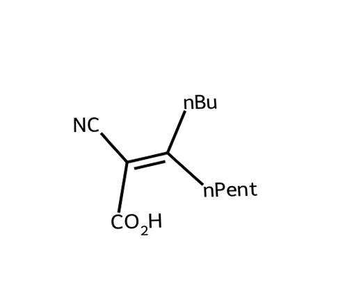 CCCCCC(CCCC)=C(C#N)C(=O)O